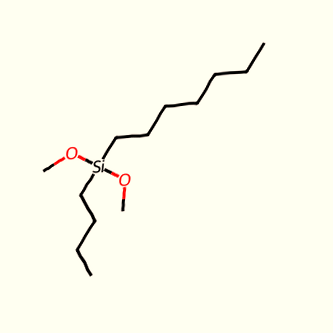 CCCCCCC[Si](CCCC)(OC)OC